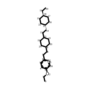 CCOc1ccc(CCC2CCC(CC[C@H]3CC[C@H](CC)CC3)CC2)nc1